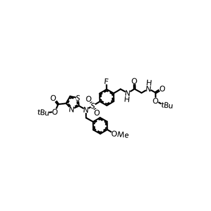 COc1ccc(CN(c2nc(C(=O)OC(C)(C)C)cs2)S(=O)(=O)c2ccc(CNC(=O)CNC(=O)OC(C)(C)C)c(F)c2)cc1